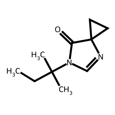 CCC(C)(C)N1C=NC2(CC2)C1=O